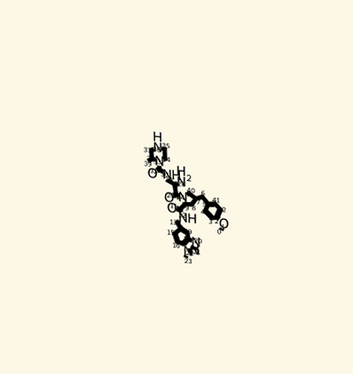 COc1ccc(CC2CC(C(=O)NCc3ccc4c(c3)nnn4C)N(C(=O)C(N)CNC(=O)N3CCNCC3C)C2)cc1